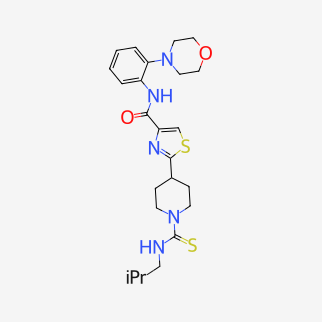 CC(C)CNC(=S)N1CCC(c2nc(C(=O)Nc3ccccc3N3CCOCC3)cs2)CC1